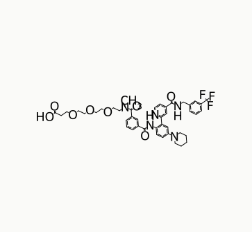 CN(CCOCCOCCOCCC(=O)O)C(=O)c1cccc(C(=O)Nc2ccc(N3CCCCC3)cc2-c2cc(C(=O)NCc3cccc(C(F)(F)F)c3)ccn2)c1